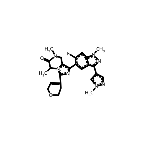 CC1C(=O)N(C)Cc2c(-c3cc4c(-c5cnn(C)c5)nn(C)c4cc3F)nc(C3=CCOCC3)n21